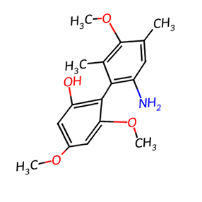 COc1cc(O)c(-c2c(N)cc(C)c(OC)c2C)c(OC)c1